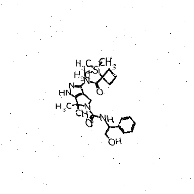 CC1(C)c2[nH]nc(NC(=O)C3([Si](C)(C)C)CCC3)c2CN1C(=O)NC(CO)c1ccccc1